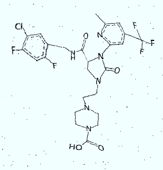 Cc1cc(C(F)(F)F)cc(N2C(=O)N(CCN3CCN(C(=O)O)CC3)CC2C(=O)NCc2cc(Cl)c(F)cc2F)n1